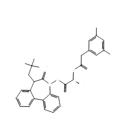 C[C@H](NC(=O)Cc1cc(F)cc(F)c1)C(=O)NN1C(=O)C(CC(F)(F)F)c2ccccc2-c2ccccc21